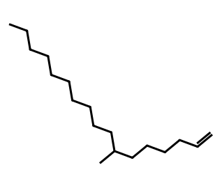 C=CCCCCC(C)CCCCCCCCCC